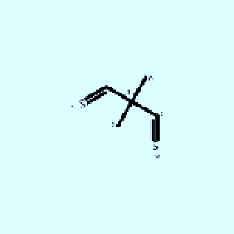 CC(C)([C]=S)C=S